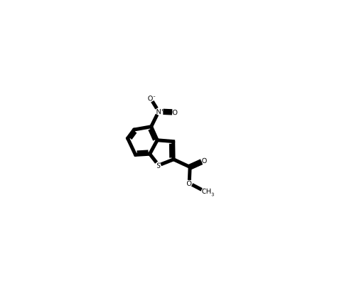 COC(=O)c1cc2c([N+](=O)[O-])cccc2s1